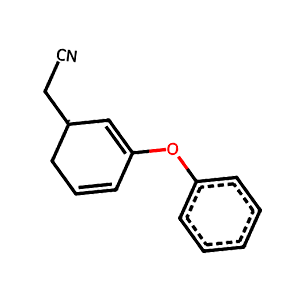 N#CC[C]1C=C(Oc2ccccc2)C=CC1